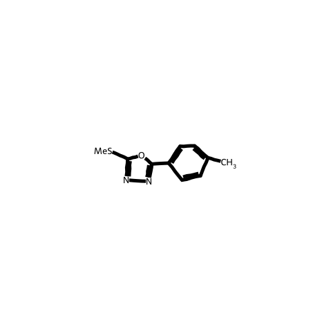 CSc1nnc(-c2ccc(C)cc2)o1